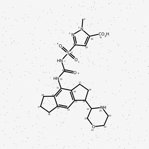 Cn1nc(S(=O)(=O)NC(=O)Nc2c3c(cc4c2CCC4C2COCCN2)CCC3)cc1C(=O)O